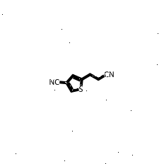 N#CCCc1cc(C#N)cs1